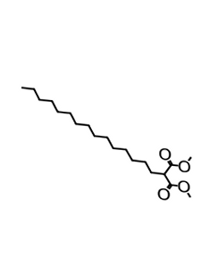 CCCCCCCCCCCCCCCC(C(=O)OC)C(=O)OC